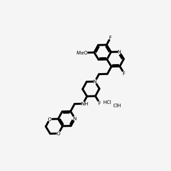 COc1cc(F)c2ncc(F)c(CCN3CCC(NCc4cc5c(cn4)OCCO5)C(F)C3)c2c1.Cl.Cl